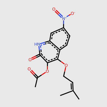 CC(=O)Oc1c(OCC=C(C)C)c2ccc([N+](=O)[O-])cc2[nH]c1=O